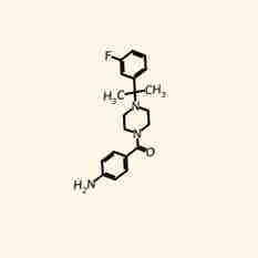 CC(C)(c1cccc(F)c1)N1CCN(C(=O)c2ccc(N)cc2)CC1